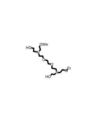 CCOCCN(CCO)CCOCCOCCN(CCO)CCOC